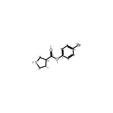 O=C(Oc1ccc(Br)cc1)C1CCSC1